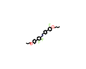 CCCCOc1ccc(-c2ccc(/C=C/c3ccc(-c4ccc(OCCC)cc4)c(F)c3F)cc2)cc1F